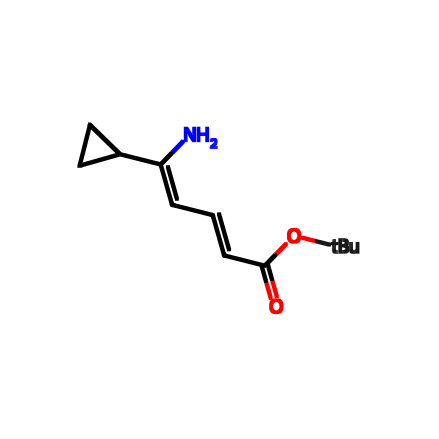 CC(C)(C)OC(=O)C=CC=C(N)C1CC1